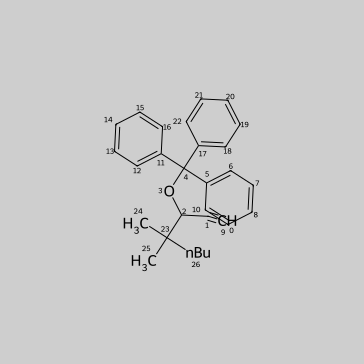 C#CC(OC(c1ccccc1)(c1ccccc1)c1ccccc1)C(C)(C)CCCC